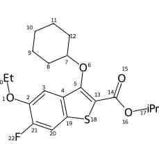 CCOc1cc2c(OC3CCCCC3)c(C(=O)OC(C)C)sc2cc1F